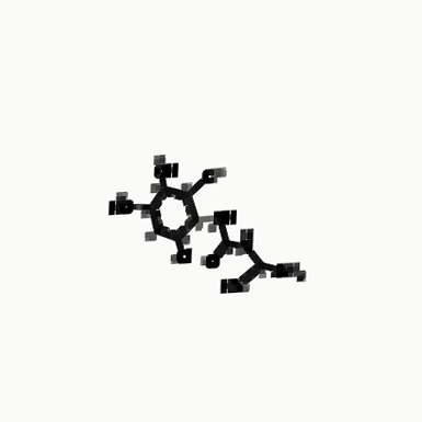 N=C(N)NC(=O)Nc1c(Cl)cc(O)c(O)c1Cl